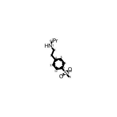 CC(C)NCCc1ccc(S(C)(=O)=O)cc1